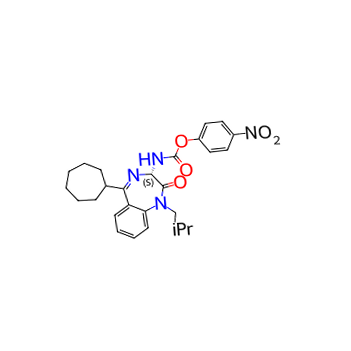 CC(C)CN1C(=O)[C@@H](NC(=O)Oc2ccc([N+](=O)[O-])cc2)N=C(C2CCCCCC2)c2ccccc21